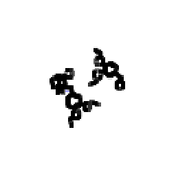 CCOc1ccc(/C=C2/C(=O)C3CCN2CC3)cc1OCC.CCOc1ccc(C=O)cc1OCC